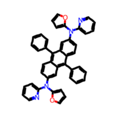 c1ccc(-c2c3ccc(N(c4ccccn4)c4ccco4)cc3c(-c3ccccc3)c3ccc(N(c4ccccn4)c4ccco4)cc23)cc1